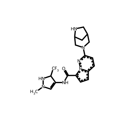 CN1C=C(NC(=O)c2ccc3ccc(N4CC5CNC(C5)C4)nn23)C(C(F)(F)F)N1